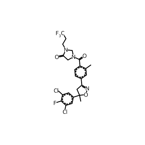 Cc1cc(C2=NOC(C)(c3cc(Cl)c(F)c(Cl)c3)C2)ccc1C(=O)N1CC(=O)N(CCC(F)(F)F)C1